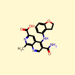 Cc1nc(C(=O)O)cc2c(Nc3cccc4c3CCO4)c(C(N)=O)cnc12